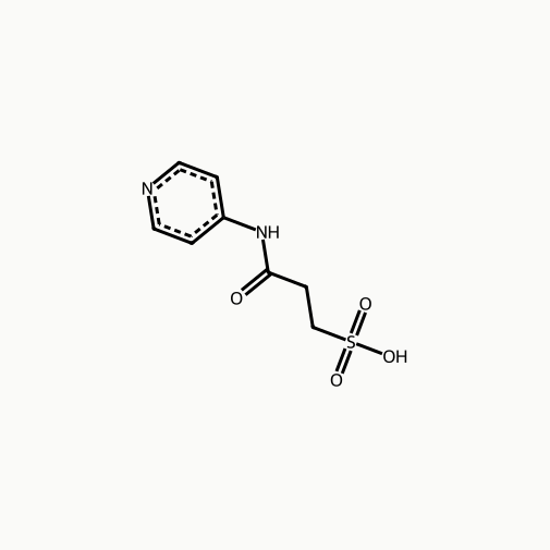 O=C(CCS(=O)(=O)O)Nc1ccncc1